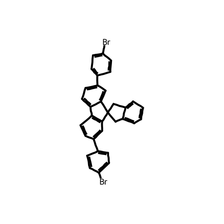 Brc1ccc(-c2ccc3c(c2)C2(Cc4ccccc4C2)c2cc(-c4ccc(Br)cc4)ccc2-3)cc1